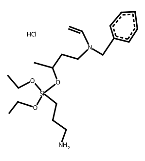 C=CN(CCC(C)O[Si](CCCN)(OCC)OCC)Cc1ccccc1.Cl